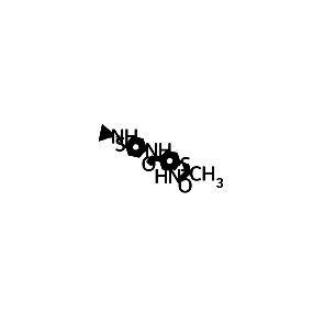 CC1Sc2ccc(C(=O)Nc3ccc(SNC4CC4)cc3)cc2NC1=O